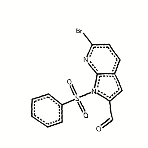 O=Cc1cc2ccc(Br)nc2n1S(=O)(=O)c1ccccc1